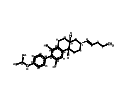 CCC/C=C/[C@@H]1CC[C@@H]2c3cc(F)c(-c4ccc(OC(F)F)cc4)c(F)c3CC[C@@H]2C1